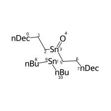 CCCCCCCCCCC[CH2][Sn](=[O])[CH2]CCCCCCCCCCC.CCC[CH2][Sn][CH2]CCC